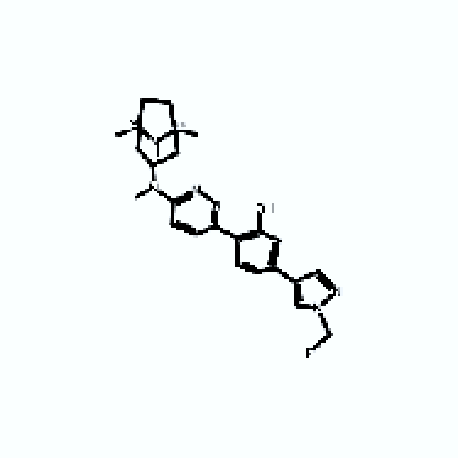 CN(c1ccc(-c2ccc(-c3cnn(CF)c3)cc2O)nn1)C1C[C@]2(C)CC[C@](C)(C1)N2